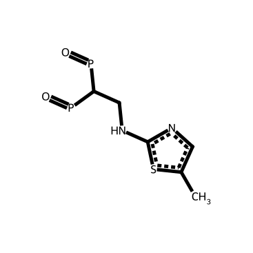 Cc1cnc(NCC(P=O)P=O)s1